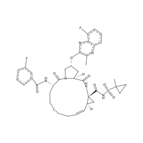 Cc1nc2cccc(F)c2nc1O[C@@H]1C[C@H]2C(=O)N[C@]3(C(=O)NS(=O)(=O)C4(C)CC4)C[C@H]3C=CCCCCC[C@H](NC(=O)c3cccc(F)c3)C(=O)N2C1